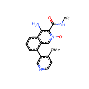 CCCNC(=O)c1c(N)c2cccc(-c3cnccc3OC)c2c[n+]1[O-]